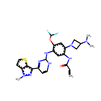 C=CC(=O)Nc1cc(NC2N=C(c3nn(C)c4ccsc34)C=CN2)c(OC(F)F)cc1N1CC(N(C)C)C1